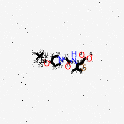 COC(=O)c1scc(C)c1NC(=O)CN1CCC(O[Si](C)(C)C(C)(C)C)CC1